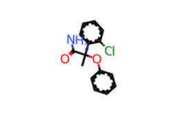 CC(Oc1ccccc1)(C(N)=O)c1ccccc1Cl